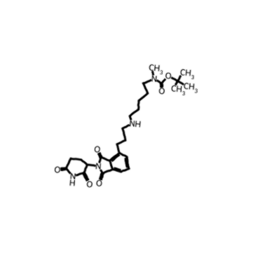 CN(CCCCCNCCCc1cccc2c1C(=O)N(C1CCC(=O)NC1=O)C2=O)C(=O)OC(C)(C)C